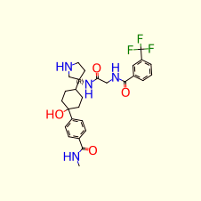 CNC(=O)c1ccc(C2(O)CCC([C@]3(NC(=O)CNC(=O)c4cccc(C(F)(F)F)c4)CCNC3)CC2)cc1